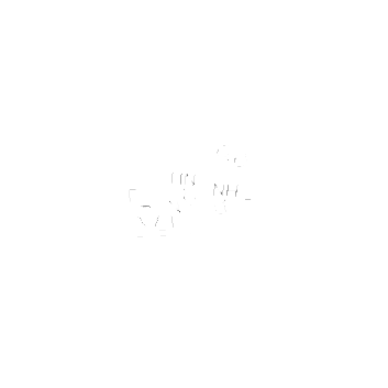 COC(=O)CC[C@@H](CNC(=O)C(C)(C)F)NC(=O)C[C@H](N)Cc1cc(F)c(F)cc1F